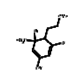 CCCC1=CC(C(=O)O)(C(C)C)C(CCOC)C(CCC)=C1